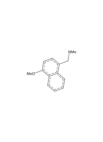 CNCc1ccc(OC)c2ccccc12